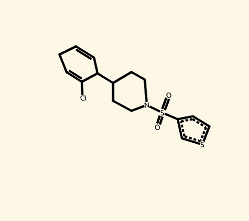 O=S(=O)(c1ccsc1)N1CCC(C2C=CCC=C2Cl)CC1